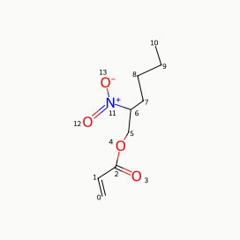 C=CC(=O)OCC(CCCC)[N+](=O)[O-]